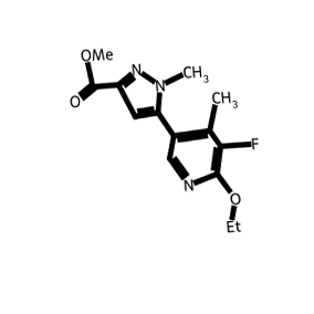 CCOc1ncc(-c2cc(C(=O)OC)nn2C)c(C)c1F